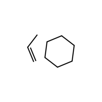 C1CCCCC1.C=CC